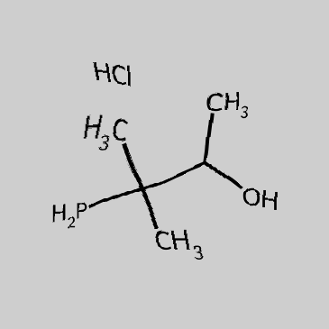 CC(O)C(C)(C)P.Cl